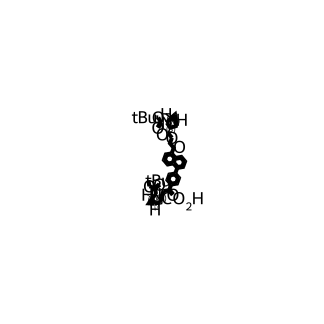 CC(C)(C)OC(=O)N1[C@@H]2C[C@@H]2C[C@H]1C(=O)OCC(=O)c1cccc2c(-c3ccc(C(=O)C[C@]4(C(=O)O)C[C@H]5C[C@H]5N4C(=O)OC(C)(C)C)cc3)cccc12